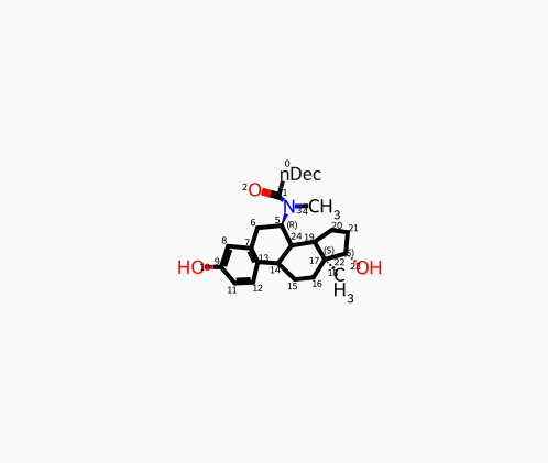 CCCCCCCCCCC(=O)N(C)[C@@H]1Cc2cc(O)ccc2C2CC[C@@]3(C)C(CC[C@@H]3O)C21